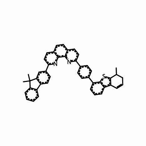 CC1CC=Cc2c1sc1c(-c3ccc(-c4ccc5ccc6ccc(-c7ccc8c(c7)C(C)(C)c7ccccc7-8)nc6c5n4)cc3)cccc21